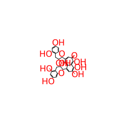 O=c1cc(C2Oc3cc(O)cc(O)c3C[C@H]2O)cc2c(C3Oc4cc(O)cc(O)c4C[C@H]3O)cc(O)c(O)c2c1O